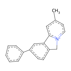 Cc1cc[n+]2c(c1)-c1cc(-c3ccccc3)ccc1C2